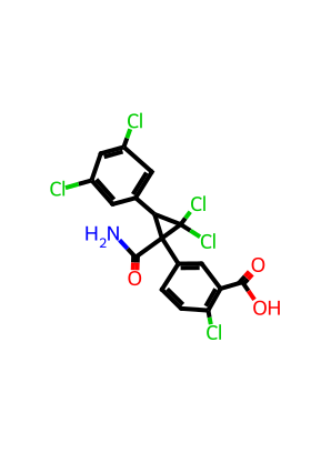 NC(=O)C1(c2ccc(Cl)c(C(=O)O)c2)C(c2cc(Cl)cc(Cl)c2)C1(Cl)Cl